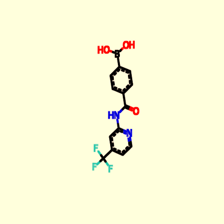 O=C(Nc1cc(C(F)(F)F)ccn1)c1ccc(B(O)O)cc1